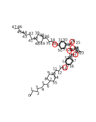 CCCCCCCC1CCC(CCCOc2ccc(C(=O)O[C@H](C)[C@@H](C)OC(=O)c3ccc(OCCCC4CCC(CCCCCCC)CC4)cc3)cc2)CC1